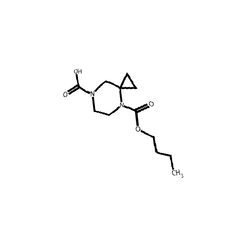 CCCCOC(=O)N1CCN(C(=O)O)CC12CC2